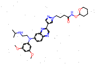 COc1cc(OC)cc(N(CCNC(C)C)c2ccc3ncc(-c4cnn(CCCC(=O)NOC5CCCCO5)c4)nc3c2)c1